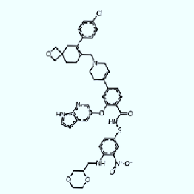 O=C(NSc1ccc(NC[C@@H]2COCCO2)c([N+](=O)[O-])c1)c1ccc(C2=CCN(CC3=C(c4ccc(Cl)cc4)CC4(CC3)COC4)CC2)cc1Oc1cnc2[nH]ccc2c1